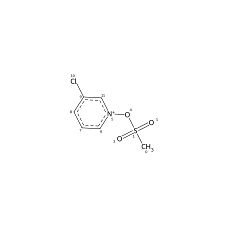 CS(=O)(=O)O[n+]1cccc(Cl)c1